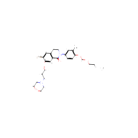 COCCOCOc1ccc(N2CCc3cc(Br)c(OCCCN4CCOCC4)cc3C2=O)cc1[N+](=O)[O-]